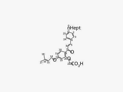 CCCCCCCc1ccc(C=CC(=O)c2ccc(OCC=C(C)C)cc2OCC(=O)O)cc1